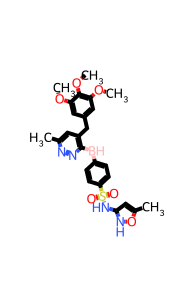 COc1cc(Cc2cc(C)nnc2Bc2ccc(S(=O)(=O)NC3C=C(C)ON3)cc2)cc(OC)c1OC